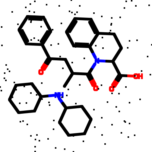 C1CCC(NC2CCCCC2)CC1.CC(CC(=O)c1ccccc1)C(=O)N1c2ccccc2CCC1C(=O)O